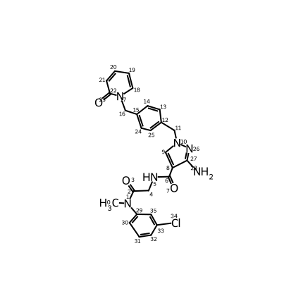 CN(C(=O)CNC(=O)c1cn(Cc2ccc(Cn3ccccc3=O)cc2)nc1N)c1cccc(Cl)c1